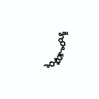 CCOc1ccc(-c2ncc(F)c(CNCCCOc3ccc4c(c3)CC[C@H]4CC(=O)O)n2)cc1